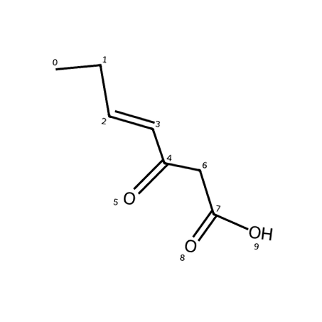 CCC=CC(=O)CC(=O)O